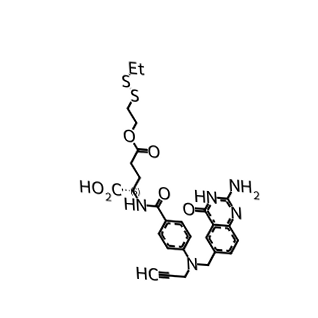 C#CCN(Cc1ccc2nc(N)[nH]c(=O)c2c1)c1ccc(C(=O)N[C@@H](CCC(=O)OCCSSCC)C(=O)O)cc1